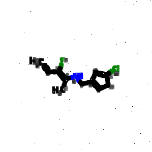 C=C/C(F)=C(\C)NCC1=CCC(Cl)=C1